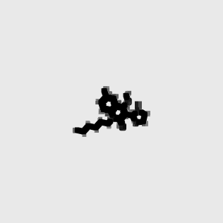 CCCCCCn1c(=O)c(C2NCCS2)c(OC)c2cc(C)ccc21